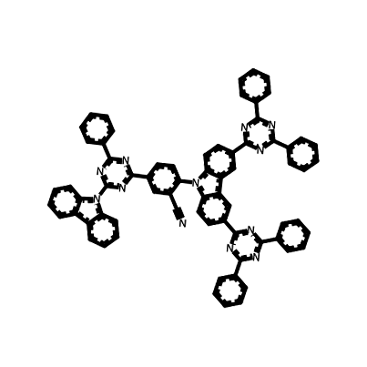 N#Cc1cc(-c2nc(-c3ccccc3)nc(-n3c4ccccc4c4ccccc43)n2)ccc1-n1c2ccc(-c3nc(-c4ccccc4)nc(-c4ccccc4)n3)cc2c2cc(-c3nc(-c4ccccc4)nc(-c4ccccc4)n3)ccc21